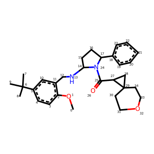 COc1ccc(C(C)(C)C)cc1CNC1CCC(c2ccccc2)N1C(=O)C1CC12CCOCC2